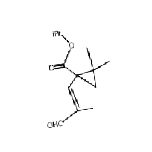 C/C(C=O)=C\C1(C(=O)OC(C)C)CC1(C)C